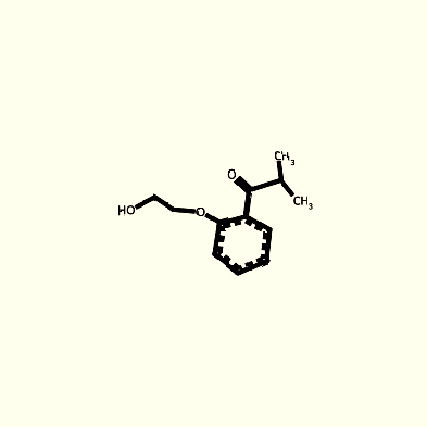 CC(C)C(=O)c1ccccc1OCCO